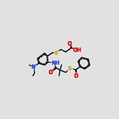 CCN(C)c1ccc(CSCCC(=O)O)c(NC(=O)C(C)(C)CSC(=O)c2ccccc2)c1